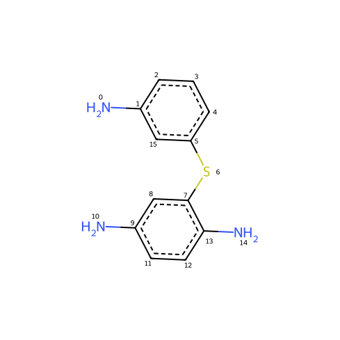 Nc1cccc(Sc2cc(N)ccc2N)c1